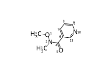 CON(C)C(=O)c1cc[c]nc1